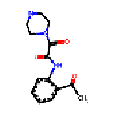 CC(=O)c1ccccc1NC(=O)C(=O)N1CCNCC1